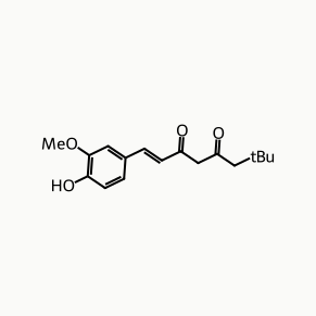 COc1cc(C=CC(=O)CC(=O)CC(C)(C)C)ccc1O